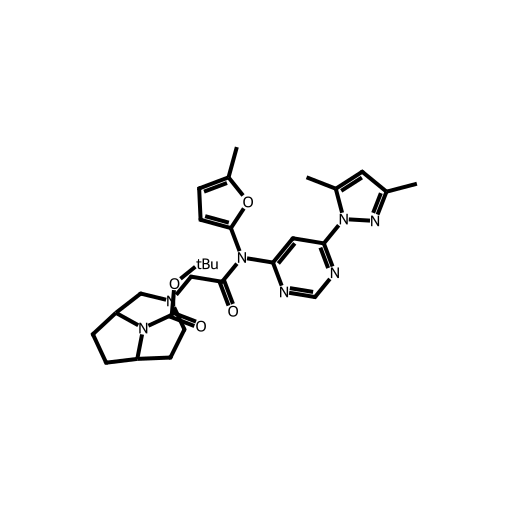 Cc1cc(C)n(-c2cc(N(C(=O)CN3CCC4CCC(C3)N4C(=O)OC(C)(C)C)c3ccc(C)o3)ncn2)n1